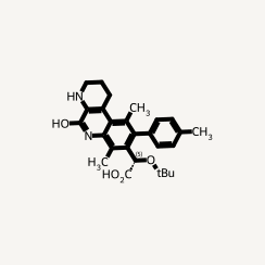 Cc1ccc(-c2c([C@H](OC(C)(C)C)C(=O)O)c(C)c3nc(O)c4c(c3c2C)CCCN4)cc1